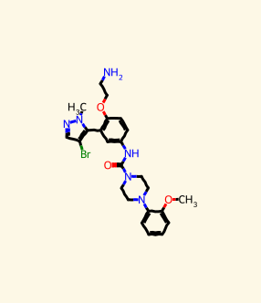 COc1ccccc1N1CCN(C(=O)Nc2ccc(OCCN)c(-c3c(Br)cnn3C)c2)CC1